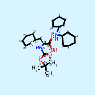 C1CCC(NC2CCCCC2)CC1.CC(C)(C)OC(=O)N[C@@H](CC1CCCCC1)C(=O)O